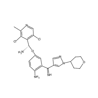 Cc1ncc(Cl)c([C@@H](N)Oc2ccc(N)c(C(=N)c3cnn(C4CCOCC4)c3)c2)c1Cl